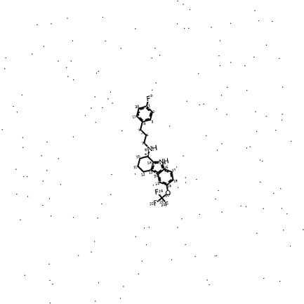 Fc1ccc(CCCNC2CCCc3c2[nH]c2ccc(OC(F)(F)F)cc32)cc1